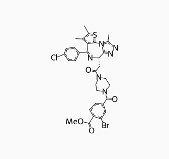 COC(=O)c1ccc(C(=O)N2CCN(C(=O)C[C@@H]3N=C(c4ccc(Cl)cc4)c4c(sc(C)c4C)-n4c(C)nnc43)CC2)cc1Br